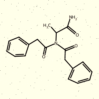 CC(C(N)=O)N(C(=O)Cc1ccccc1)C(=O)Cc1ccccc1